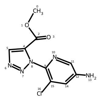 COC(=O)c1cnnn1-c1ncc(N)cc1Cl